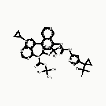 CC(C)(C)OC(=O)N(C(=O)OC(C)(C)C)c1ncnc2c1c(-c1ccc(NC(=O)Nc3cc(C4(C(F)(F)F)CC4)no3)c3cnccc13)cn2C1CC1